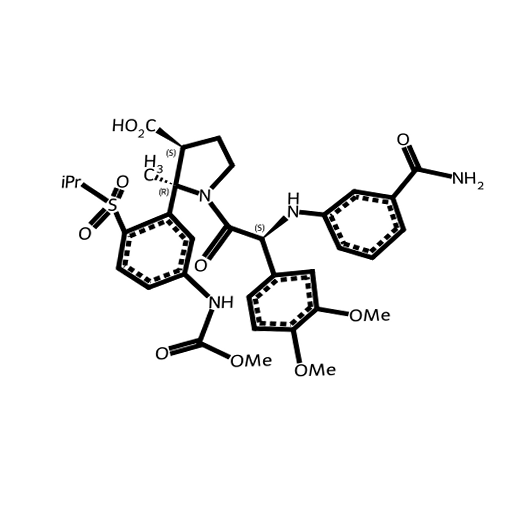 COC(=O)Nc1ccc(S(=O)(=O)C(C)C)c([C@@]2(C)[C@@H](C(=O)O)CCN2C(=O)[C@@H](Nc2cccc(C(N)=O)c2)c2ccc(OC)c(OC)c2)c1